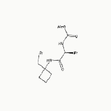 COC(=O)N[C@H](C(=O)NC1(CC(C)C)CCC1)C(C)C